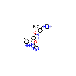 Cc1ccc(Nc2nc(Oc3cc(C(=O)Nc4ccc(CN5CCN(C)CC5)c(C(F)(F)F)c4)ccc3C)c3cnn(C)c3n2)cc1